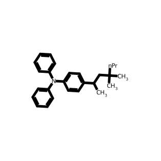 CCCC(C)(C)CC(C)c1ccc(N(c2ccccc2)c2ccccc2)cc1